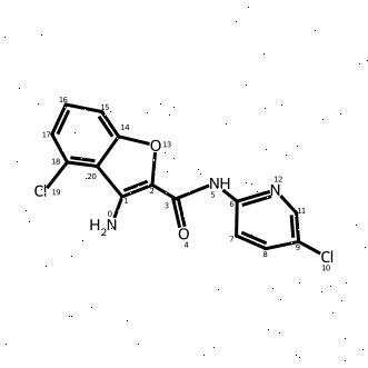 Nc1c(C(=O)Nc2ccc(Cl)cn2)oc2cccc(Cl)c12